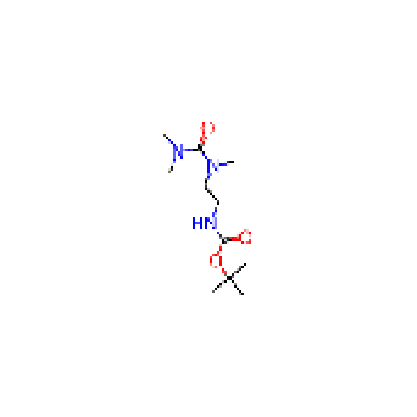 CN(C)C(=O)N(C)CCNC(=O)OC(C)(C)C